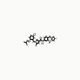 COc1cc(NC(=O)c2cc(C)n(Cc3cc(Cl)ccc3OCC(C)C)n2)ccc1CN1CCCC1